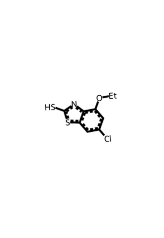 CCOc1cc(Cl)cc2sc(S)nc12